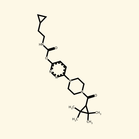 CC1(C)C(C(=O)N2CCN(c3ccc(OC(=O)NCCC4CC4)nn3)CC2)C1(C)C